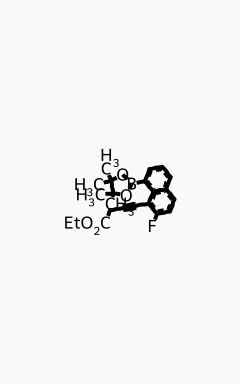 CCOC(=O)CC#Cc1c(F)ccc2cccc(B3OC(C)(C)C(C)(C)O3)c12